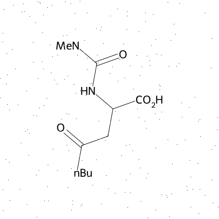 CCCCC(=O)CC(NC(=O)NC)C(=O)O